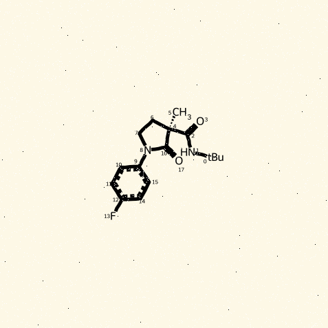 CC(C)(C)NC(=O)[C@]1(C)CCN(c2ccc(F)cc2)C1=O